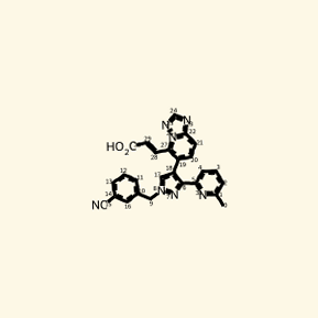 Cc1cccc(-c2nn(Cc3cccc(C#N)c3)cc2-c2ccc3ncnn3c2/C=C/C(=O)O)n1